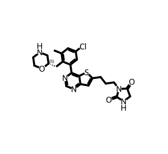 Cc1cc(Cl)cc(-c2ncnc3cc(CCCN4C(=O)CNC4=O)sc23)c1C[C@H]1CNCCO1